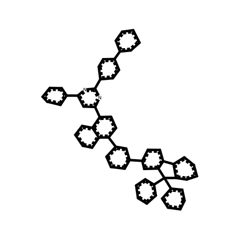 c1ccc(-c2ccc(-c3nc(-c4ccccc4)cc(-c4ccc(-c5cccc(-c6ccc7c(c6)C(c6ccccc6)(c6ccccc6)c6ccccc6-7)c5)c5ccccc45)n3)cc2)cc1